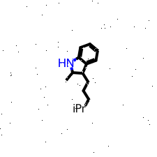 CC(C)CCCC1c2ccccc2NC1C